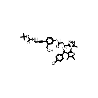 Cc1sc2c(c1C)C(c1ccc(Cl)cc1)=N[C@@H](CC(=O)Nc1ccc(C#CCNC(=O)OC(C)(C)C)c(CO)c1)c1nnc(C)n1-2